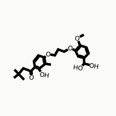 COc1ccc(C(O)O)cc1OCCCOc1ccc(C(=O)CC(C)(C)C)c(O)c1C